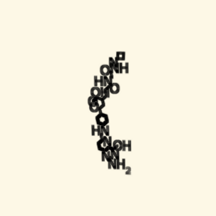 Nc1nc(O)c2nc(CNc3ccc(C(=O)CC(CCC(=O)NCC(=O)NN=C4CCC4)C(=O)O)cc3)ccc2n1